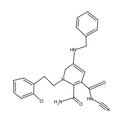 N#CNC(=O)C1=C(C(N)=O)N(CCc2ccccc2Cl)CC(NCc2ccccc2)=C1